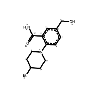 CCC1CCN(c2ccc(CO)cc2C(N)=O)CC1